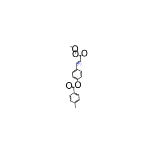 COOC(=O)/C=C/c1ccc(OC(=O)c2ccc(C)cc2)cc1